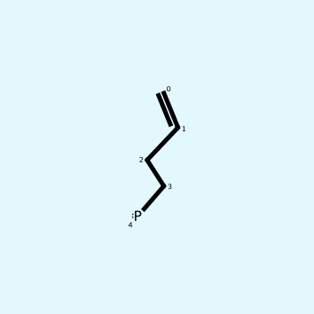 C=CCC[P]